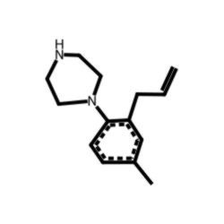 C=CCc1cc(C)ccc1N1CCNCC1